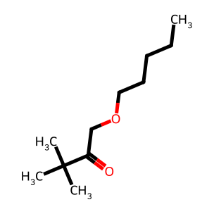 CCCCCOCC(=O)C(C)(C)C